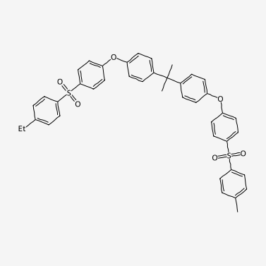 CCc1ccc(S(=O)(=O)c2ccc(Oc3ccc(C(C)(C)c4ccc(Oc5ccc(S(=O)(=O)c6ccc(C)cc6)cc5)cc4)cc3)cc2)cc1